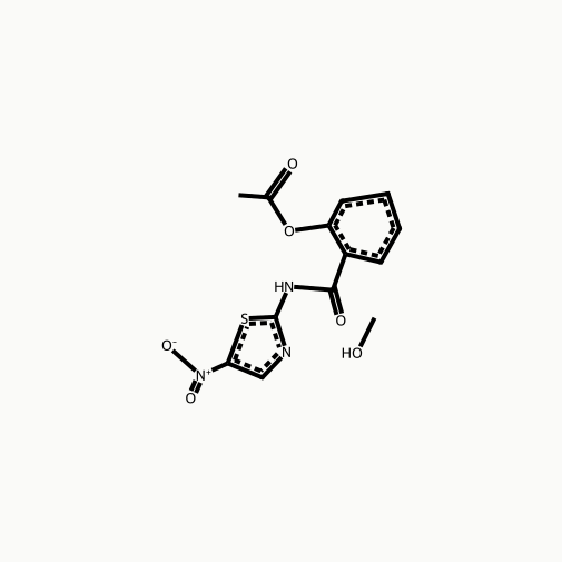 CC(=O)Oc1ccccc1C(=O)Nc1ncc([N+](=O)[O-])s1.CO